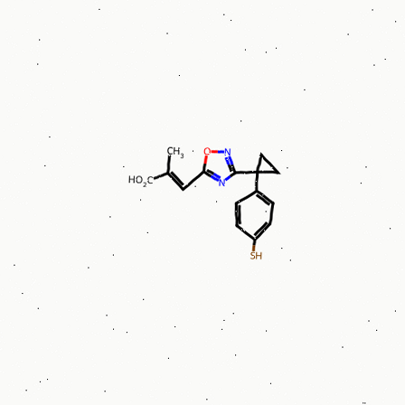 C/C(=C\c1nc(C2(c3ccc(S)cc3)CC2)no1)C(=O)O